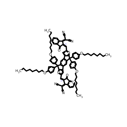 CCCCCCCCOc1ccc(C2(c3ccc(OCCCCCCCC)cc3)c3cc4c(cc3-c3cc(/C=C5\C(=O)c6ccccc6C5=C(C#N)C#N)sc32)C(c2ccc(OCCCCCCCC)cc2)(c2ccc(OCCCCCCCC)cc2)c2sc(/C=C3\C(=O)c5ccccc5C3=C(C#N)C#N)cc2-4)cc1